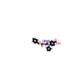 Cc1cc(C(=O)O)ccc1N(C(=O)CNC(=O)OCc1ccccc1)C1CCCC1